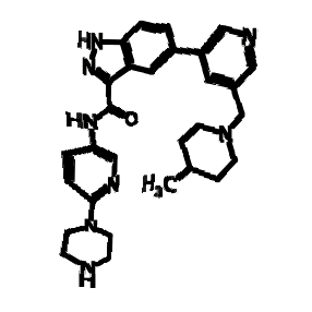 CC1CCN(Cc2cncc(-c3ccc4[nH]nc(C(=O)Nc5ccc(N6CCNCC6)nc5)c4c3)c2)CC1